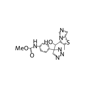 COC(=O)Nc1ccc(C2(C(O)c3c(C)sc4cncn34)C=NN=N2)cc1